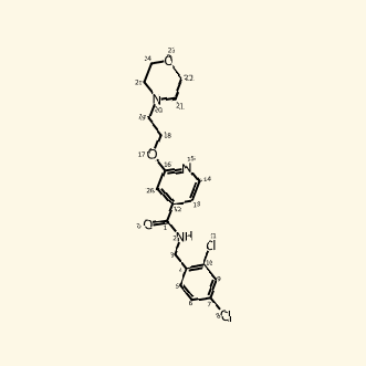 O=C(NCc1ccc(Cl)cc1Cl)c1ccnc(OCCN2CCOCC2)c1